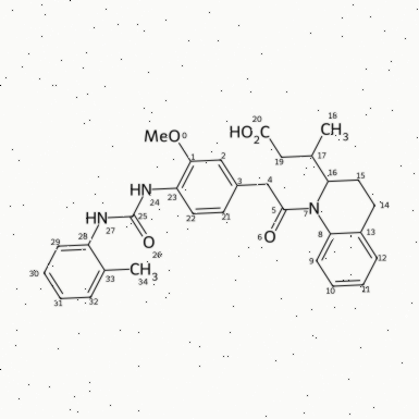 COc1cc(CC(=O)N2c3ccccc3CCC2C(C)CC(=O)O)ccc1NC(=O)Nc1ccccc1C